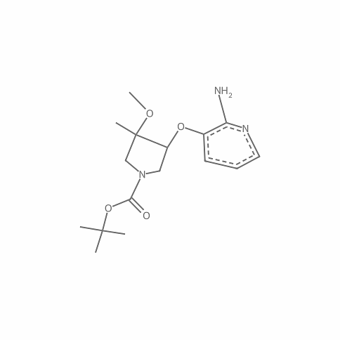 COC1(C)CN(C(=O)OC(C)(C)C)CC1Oc1cccnc1N